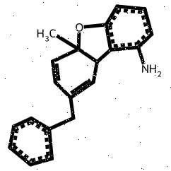 CC12C=CC(Cc3ccccc3)=CC1c1c(N)cccc1O2